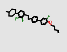 C=CCCCOc1ccc(-c2ccc(CCc3ccc(C4CCC(C)CC4)c(F)c3F)cc2)cc1F